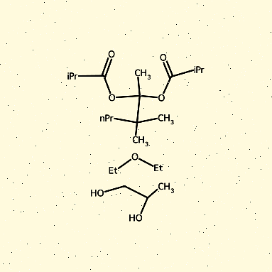 CC(O)CO.CCCC(C)(C)C(C)(OC(=O)C(C)C)OC(=O)C(C)C.CCOCC